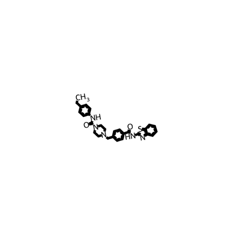 CCc1ccc(NC(=O)N2CCN(Cc3ccc(C(=O)Nc4nc5ccccc5s4)cc3)CC2)cc1